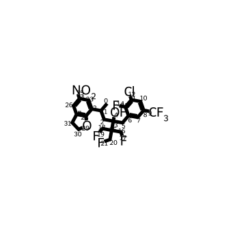 CC(CC(O)(Cc1cc(C(F)(F)F)cc(Cl)c1F)C(CF)(CF)CF)c1cc([N+](=O)[O-])cc2c1OCC2